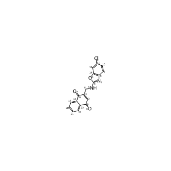 O=C1C=C(CNc2nc3ccc(Cl)cc3o2)C(=O)c2ccccc21